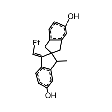 CC/C=C1/c2ccc(O)cc2C(C)C12Cc1ccc(O)cc1C2